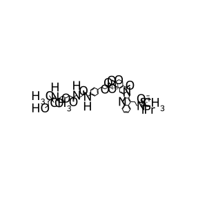 CC(C)N(CCc1c2c(nc3ccccc13)-c1cc3c(c(=O)n1C2)COC(=O)[C@H]3OC(=O)OCc1ccc(NC(=O)CNC(=O)COCC(=O)NC(C)(C)CCO)cc1)[S+](C)[O-]